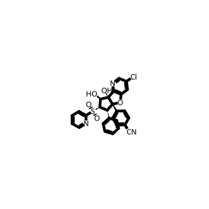 N#Cc1ccc([C@]23Oc4cc(Cl)cnc4[C@]2(O)[C@H](O)[C@@H](S(=O)(=O)c2ccccn2)[C@H]3c2ccccc2)cc1